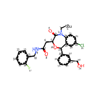 CC(C)(C)CN1C(=O)C(CC(=O)NCc2ccccc2F)OC(c2cccc(CO)c2)c2cc(Cl)ccc21